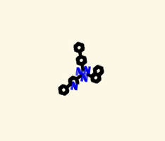 c1ccc(-c2ccc(-c3nc(-c4ccc(-c5ccccc5)nc4)nc(-c4cccc5ccccc45)n3)cc2)cc1